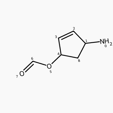 NC1C=CC(OC=O)C1